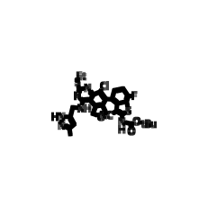 CCSc1nc(NCc2cc(C)n[nH]2)c2c3c(c(-c4ccc(F)c5sc(NC(=O)OC(C)(C)C)c(C#N)c45)c(Cl)c2n1)COC3